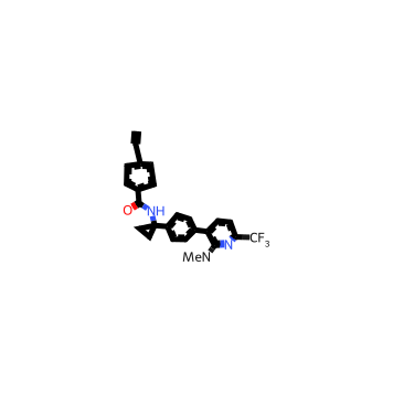 C#Cc1ccc(C(=O)NC2(c3ccc(-c4ccc(C(F)(F)F)nc4NC)cc3)CC2)cc1